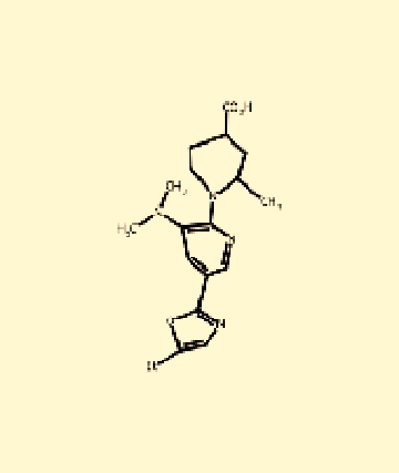 CCc1cnc(-c2cnc(N3CCC(C(=O)O)CC3C)c(N(C)C)c2)o1